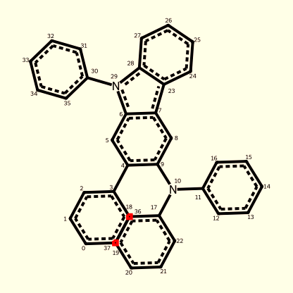 c1ccc(-c2cc3c(cc2N(c2ccccc2)c2ccccc2)c2ccccc2n3-c2ccccc2)cc1